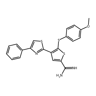 COc1ccc(Sc2sc(C(=N)N)cc2-c2nc(-c3ccccc3)cs2)cc1